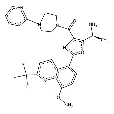 COc1ccc(-c2nc(C(=O)N3CCN(c4ccccn4)CC3)c([C@H](C)N)o2)c2ccc(C(F)(F)F)nc12